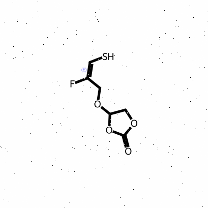 O=C1OCC(OC/C(F)=C\S)O1